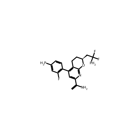 C=C(N)c1cc(-c2ccc(P)cc2F)c2c(n1)O[C@H](CC(F)(F)P)CC2